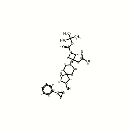 CC(C)(C)OC(=O)N1CC(CC(=O)O)(N2CCC3(CC2)CC(N[C@@H]2C[C@H]2c2ccccc2)CO3)C1